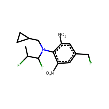 CC(F)C(F)N(CC1CC1)c1c([N+](=O)[O-])cc(CF)cc1[N+](=O)[O-]